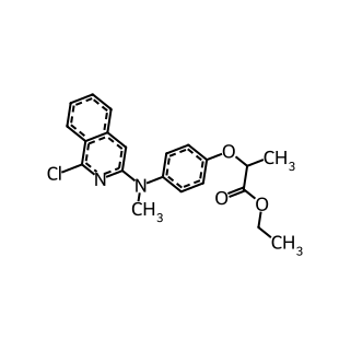 CCOC(=O)C(C)Oc1ccc(N(C)c2cc3ccccc3c(Cl)n2)cc1